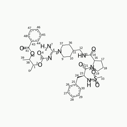 CC(OC(=O)N=C(N)N1CCC(CNC(=O)C2CCCN2C(=O)[C@H](Cc2ccccc2)NS(C)(=O)=O)CC1)C(C)OC(=O)c1ccccc1